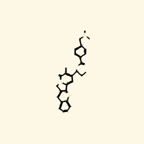 CCC(OC(=O)c1ccc(CN(C)C)cc1)c1cc2n(c(=O)c1C)Cc1cc3ccccc3nc1-2